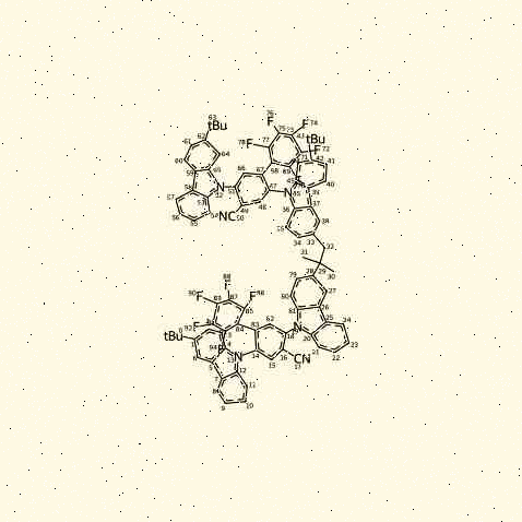 CC(C)(C)c1ccc2c(c1)c1ccccc1n2-c1cc(C#N)c(-n2c3ccccc3c3cc(C(C)(C)Cc4ccc5c(c4)c4ccc(C(C)(C)C)cc4n5-c4cc(C#N)c(-n5c6ccccc6c6ccc(C(C)(C)C)cc65)cc4-c4c(F)c(F)c(F)c(F)c4F)ccc32)cc1-c1c(F)c(F)c(F)c(F)c1F